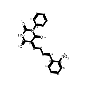 O=C1NC(=O)N(c2ccccc2)C(=O)/C1=C\C/C=C/c1ccccc1[N+](=O)[O-]